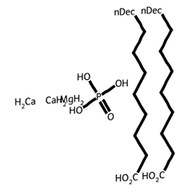 CCCCCCCCCCCCCCCCCC(=O)O.CCCCCCCCCCCCCCCCCC(=O)O.O=P(O)(O)O.[CaH2].[CaH2].[MgH2]